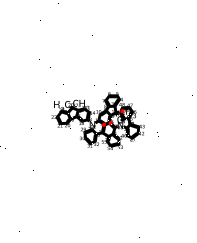 CC1(C)c2ccccc2-c2cc(N(c3ccc4c(c3)-c3ccccc3C4(C)C)c3ccccc3-c3ccc(-n4c5ccccc5c5ccccc54)c4ccccc34)ccc21